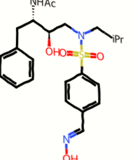 CC(=O)N[C@@H](Cc1ccccc1)[C@H](O)CN(CC(C)C)S(=O)(=O)c1ccc(C=NO)cc1